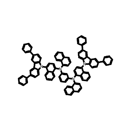 c1ccc(-c2ccc3c(c2)c2cc(-c4ccccc4)ccc2n3-c2ccc(N(c3cccc(N(c4cccc5ccccc45)c4ccc(-n5c6ccc(-c7ccccc7)cc6c6cc(-c7ccccc7)ccc65)c5ccccc45)c3)c3cccc4ccccc34)c3ccccc23)cc1